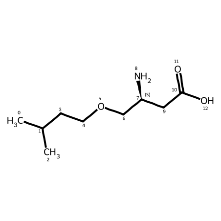 CC(C)CCOC[C@@H](N)CC(=O)O